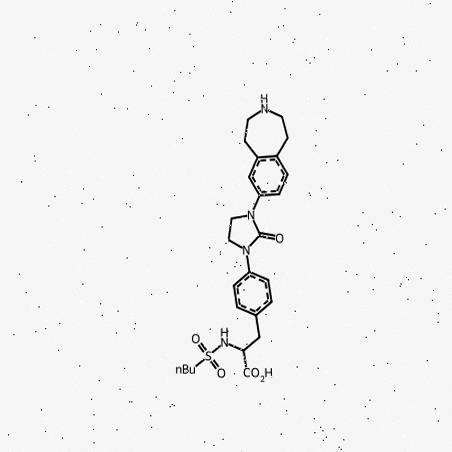 CCCCS(=O)(=O)NC(Cc1ccc(N2CCN(c3ccc4c(c3)CCNCC4)C2=O)cc1)C(=O)O